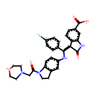 O=C1Nc2cc(C(=O)O)ccc2/C1=C(/Nc1ccc2c(c1)CCN2C(=O)CN1CCOCC1)c1ccc(F)cc1